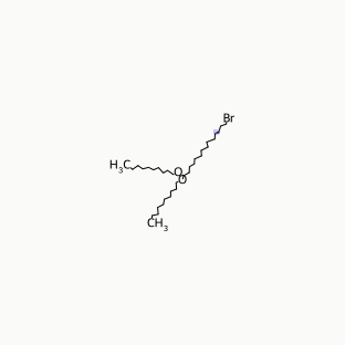 CCCCCCCCCCOC(CCCCCCCCC/C=C/CCBr)OCCCCCCCCCC